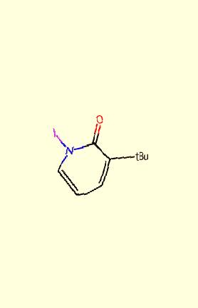 CC(C)(C)c1cccn(I)c1=O